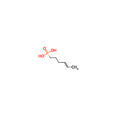 CC=CCCCP(=O)(O)O